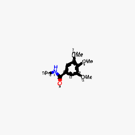 [CH2]CCNC(=O)c1cc(OC)c(OC)c(OC)c1